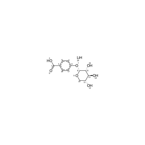 O=C(O)c1ccc(O[C@H]2OC[C@@H](O)[C@H](O)[C@H]2O)cc1.[LiH]